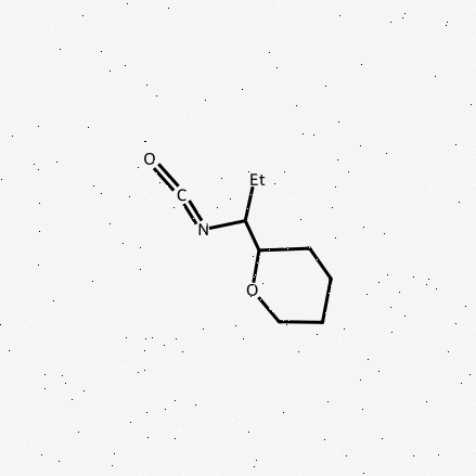 CCC(N=C=O)C1CCCCO1